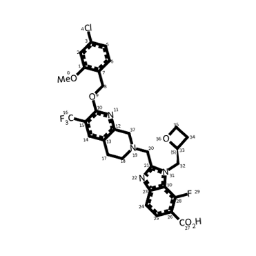 COc1cc(Cl)ccc1COc1nc2c(cc1C(F)(F)F)CCN(Cc1nc3ccc(C(=O)O)c(F)c3n1C[C@@H]1CCO1)C2